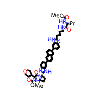 COC(=O)N[C@H](C(=O)NCCCCc1nc2ccc(-c3ccc4cc(-c5ccc6nc([C@@H]7CCCN7C(=O)[C@@H](NC(=O)OC)C7CCOCC7)[nH]c6c5)ccc4c3)cc2[nH]1)C(C)C